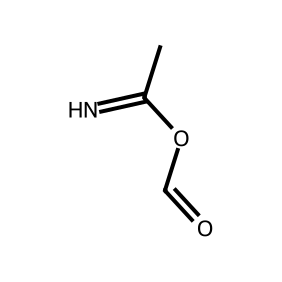 CC(=N)OC=O